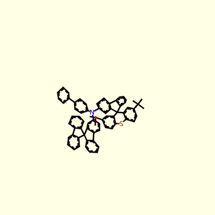 CC(C)(C)c1ccc2c(c1)C1(c3cc(C(C)(C)C)ccc3S2)c2ccccc2-c2ccc(N(c3ccc(-c4ccccc4)cc3)c3ccc4c(c3)C3(c5ccccc5-c5ccccc53)c3ccccc3-4)cc21